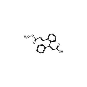 COC(=O)/C=C/c1ccccc1/C(=C\C(=O)O)c1ccccc1